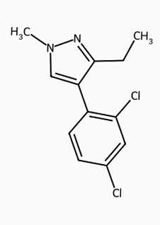 CCc1nn(C)cc1-c1ccc(Cl)cc1Cl